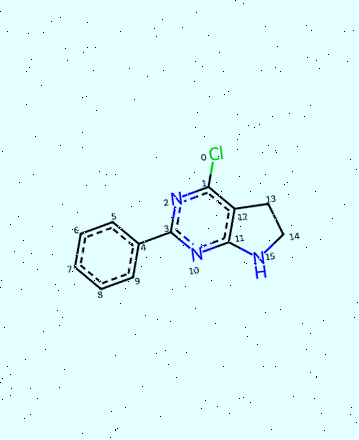 Clc1nc(-c2ccccc2)nc2c1CCN2